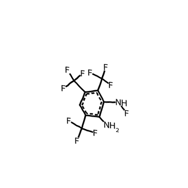 Nc1c(C(F)(F)F)cc(C(F)(F)F)c(C(F)(F)F)c1NF